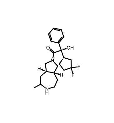 CC1C[C@@H]2CN(C(=O)[C@](O)(c3ccccc3)[C@@H]3CCC(F)(F)C3)C[C@@H]2CCN1